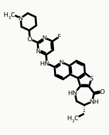 CC[C@@H]1CNc2c(sc3ccc4nc(Nc5cc(F)nc(OC6CCCN(C)C6)n5)ccc4c23)C(=O)N1